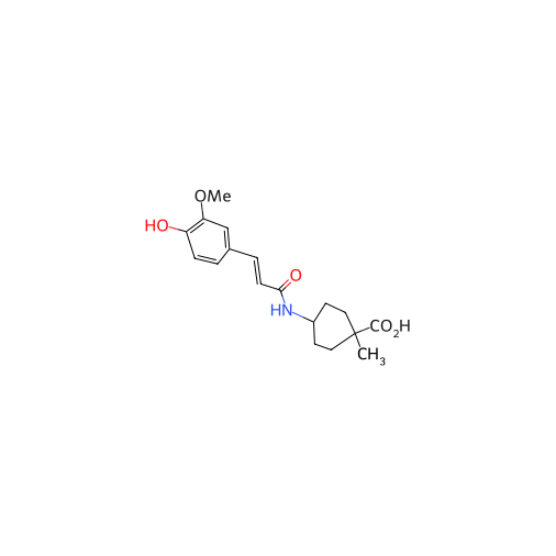 COc1cc(C=CC(=O)NC2CCC(C)(C(=O)O)CC2)ccc1O